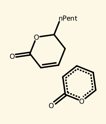 CCCCCC1CC=CC(=O)O1.O=c1cccco1